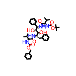 CC(C)[C@H](NC(=O)OCc1ccccc1)C(=O)N[C@@H](Cc1ccccc1)[C@@H](O)[C@H](O)[C@@H](NC(=O)[C@@H](NC(=O)OC(C)(C)C)C(C)C)c1ccccc1